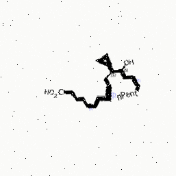 CCCCC/C=C\C[C@H](O)[C@@H](C/C=C\C/C=C\CCCC(=O)O)C1CC1